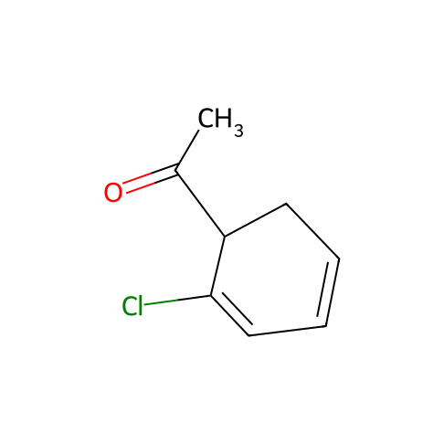 CC(=O)C1CC=CC=C1Cl